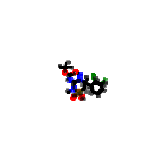 CN1/C(=N/C(=O)OC(C)(C)C)N[C@](C)(c2cccc(F)c2F)CS1(=O)=O